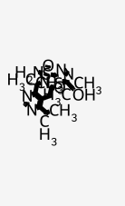 CC(C)c1ncnc(C(C)C)c1CC(=O)N=S(N)(=O)c1nnc(C(C)(C)O)s1